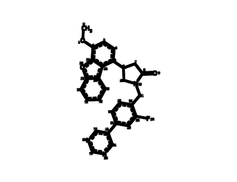 COc1ccc(C2CC(=O)N(Cc3ccc(-c4cncnc4)cc3F)C2)c2c1oc1ccccc12